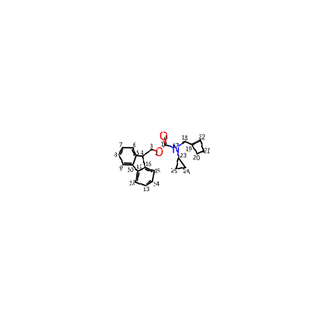 O=C(OCC1c2ccccc2-c2ccccc21)N(CC1CCC1)C1CC1